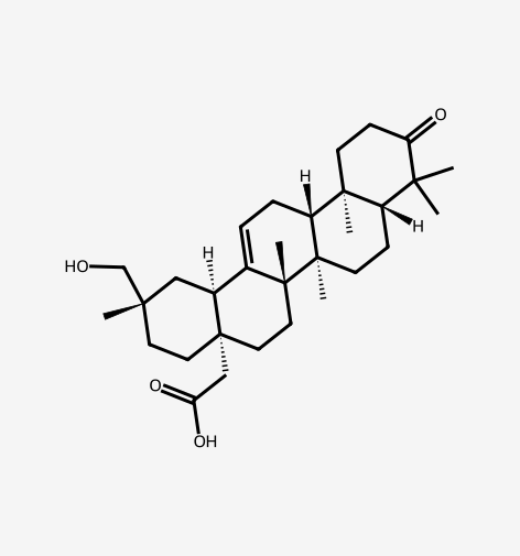 CC1(C)C(=O)CC[C@]2(C)[C@H]3CC=C4[C@@H]5C[C@@](C)(CO)CC[C@]5(CC(=O)O)CC[C@@]4(C)[C@]3(C)CC[C@@H]12